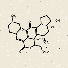 COC[C@H]1OC(=O)/C(=C/N2CCN(C)CC2)C2=C(O)C(=O)C3=C([C@H](OC(C)=O)C[C@@]4(C)C3CC[C@@H]4O)[C@]21C